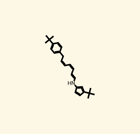 CC(C)(C)C1=C=C(N/C=C/C=C\C=C/Cc2ccc(C(C)(C)C)cc2)C=C1